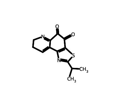 CC(C)c1nc2c(s1)C(=O)C(=O)C1=NCCC=C12